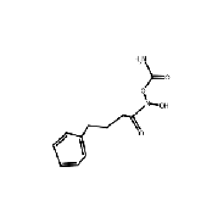 NC(=O)ON(O)C(=O)C[CH]Cc1ccccc1